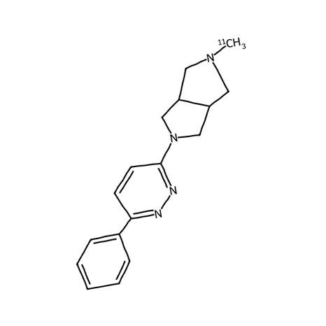 [11CH3]N1CC2CN(c3ccc(-c4ccccc4)nn3)CC2C1